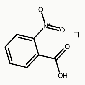 O=C(O)c1ccccc1[N+](=O)[O-].[Tl]